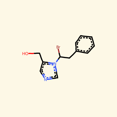 OCc1cncn1C(Br)Cc1ccccc1